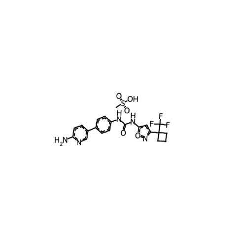 CS(=O)(=O)O.Nc1ccc(-c2ccc(NC(=O)Nc3cc(C4(C(F)(F)F)CCC4)no3)cc2)cn1